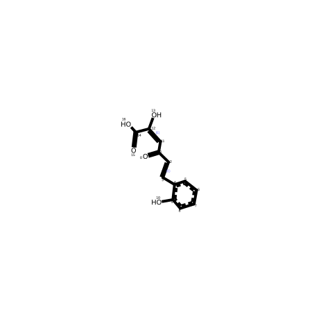 O=C(/C=C/c1ccccc1O)/C=C(/O)C(=O)O